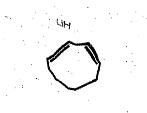 C1=CCCCC=C1.[LiH]